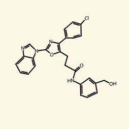 O=C(CCc1oc(-n2cnc3ccccc32)nc1-c1ccc(Cl)cc1)Nc1cccc(CO)c1